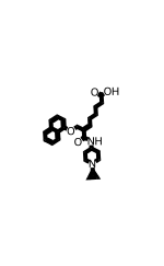 O=C(O)CCCC/C=C(\COc1cccc2ccccc12)C(=O)NC1CCN(C2CC2)CC1